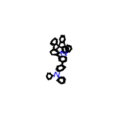 c1ccc(N(c2ccccc2)c2ccc(-c3ccc4c(c3)c3ccc5c(c3n4-c3ccccc3)C3(c4ccccc4-c4ccccc43)c3ccccc3-5)cc2)cc1